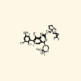 CC1(O)COCCN(c2nc(OC[C@@]34CCCN3C[C@@]3(CC3(F)F)C4)nc3c(F)c(-c4cc(N)cc(Cl)c4C(F)(F)F)ncc23)C1